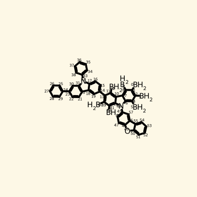 Bc1c(B)c(B)c2c(c1B)c1c(B)c(-c3ccc4c(c3)c3ccc(-c5ccccc5)cc3n4-c3ccccc3)c(B)c(B)c1n2-c1ccc2oc3ccccc3c2c1